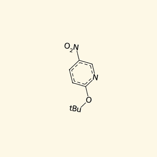 CC(C)(C)Oc1ccc([N+](=O)[O-])cn1